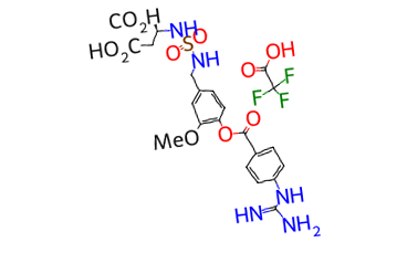 COc1cc(CNS(=O)(=O)N[C@@H](CC(=O)O)C(=O)O)ccc1OC(=O)c1ccc(NC(=N)N)cc1.O=C(O)C(F)(F)F